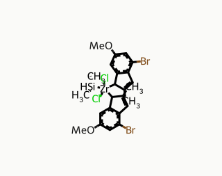 COc1cc(Br)c2c(c1)[CH]([Zr]([Cl])([Cl])([CH]1C(C)=Cc3c(Br)cc(OC)cc31)[SiH](C)C)C(C)=C2